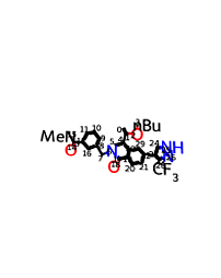 C=C(OCCCC)c1cn(Cc2cccc(C(=O)NC)c2)c(=O)c2ccc(-c3c[nH]nc3C(F)(F)F)cc12